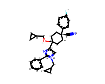 N#C[C@]1(c2ccc(F)cc2)CC[C@@](OCC2CC2)(c2cn(CC3CC3)c(-c3ccccc3)n2)CC1